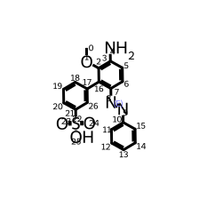 COc1c(N)ccc(/N=N/c2ccccc2)c1-c1cccc(S(=O)(=O)O)c1